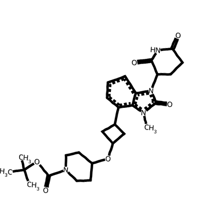 Cn1c(=O)n(C2CCC(=O)NC2=O)c2cccc(C3CC(OC4CCN(C(=O)OC(C)(C)C)CC4)C3)c21